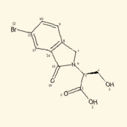 O=C(O)[C@H](CO)N1Cc2ccc(Br)cc2C1=O